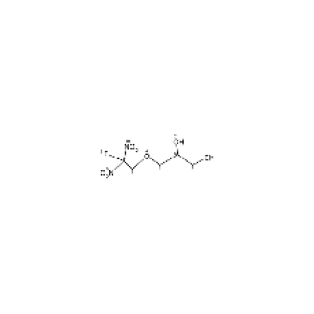 O=[N+]([O-])C(F)(COCC(O)CCl)[N+](=O)[O-]